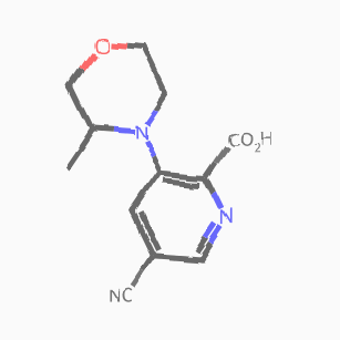 CC1COCCN1c1cc(C#N)cnc1C(=O)O